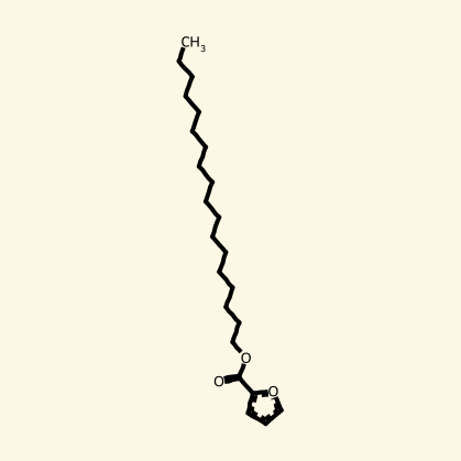 CCCCCCCCCCCCCCCCCCOC(=O)c1ccco1